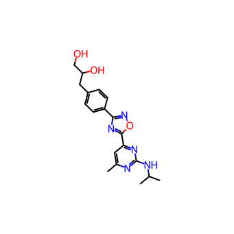 Cc1cc(-c2nc(-c3ccc(CC(O)CO)cc3)no2)nc(NC(C)C)n1